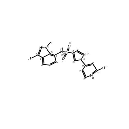 Cn1nc(F)c2cccc(NS(=O)(=O)c3cnn(-c4ccnc(Cl)c4)c3)c21